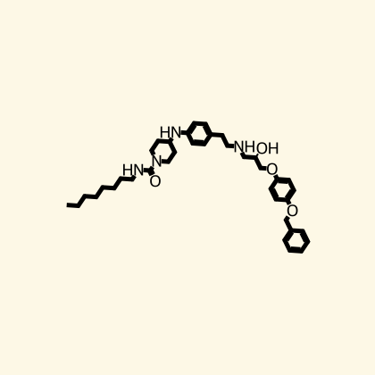 CCCCCCCCNC(=O)N1CCC(Nc2ccc(CCNC[C@H](O)COc3ccc(OCc4ccccc4)cc3)cc2)CC1